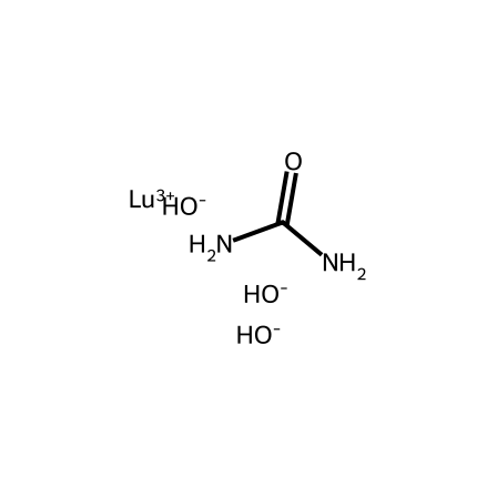 NC(N)=O.[Lu+3].[OH-].[OH-].[OH-]